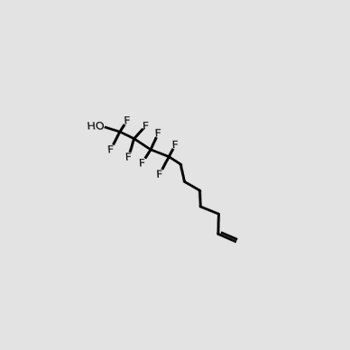 C=CCCCCCC(F)(F)C(F)(F)C(F)(F)C(O)(F)F